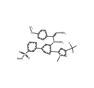 CNS(=O)(=O)c1cccc(-c2ccc(-c3cc(C(C)(F)F)nn3C)c(N(N)/C(=C\N)c3ccc(OC(F)(F)F)cc3)c2)c1